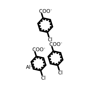 O=C([O-])c1ccc(Cl)cc1.O=C([O-])c1ccc(Cl)cc1.O=C([O-])c1ccc(Cl)cc1.[Al+3]